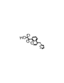 O=C(O)C(=O)c1cccc2c1OC=CC2Cc1cccs1